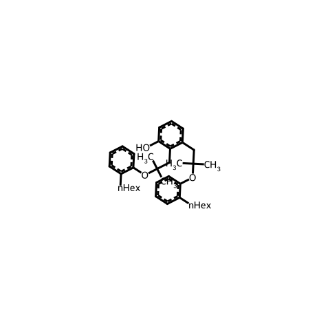 CCCCCCc1ccccc1OC(C)(C)Cc1cccc(O)c1CC(C)(C)Oc1ccccc1CCCCCC